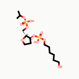 CC(C)OP(=O)(O)OC[C@H]1OCC[C@@H]1OP(=O)(O)OCCCCCCO